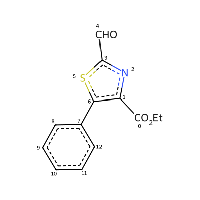 CCOC(=O)c1nc(C=O)sc1-c1ccccc1